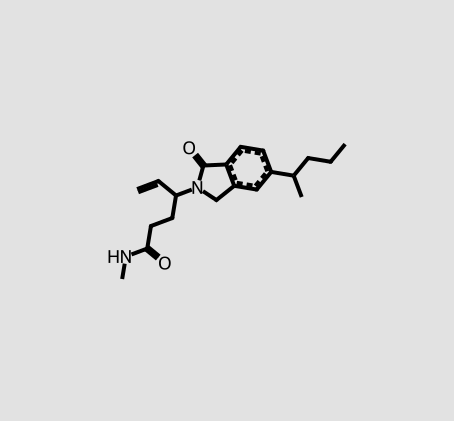 C=CC(CCC(=O)NC)N1Cc2cc(C(C)CCC)ccc2C1=O